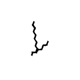 C[CH]C=C(CCCC)CCCCCCCC